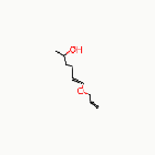 C=CCOC=CCCC(C)O